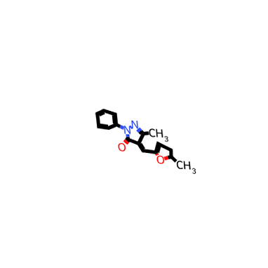 CC1=NN(c2ccccc2)C(=O)/C1=C/C1=CCC(C)O1